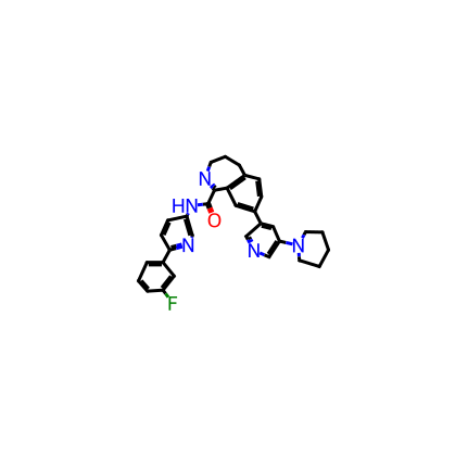 O=C(Nc1ccc(-c2cccc(F)c2)nc1)C1=NCCCc2ccc(-c3cncc(N4CCCCC4)c3)cc21